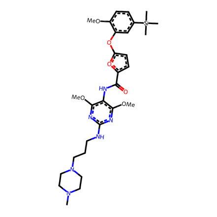 COc1ccc([Si](C)(C)C)cc1Oc1ccc(C(=O)Nc2c(OC)nc(NCCCN3CCN(C)CC3)nc2OC)o1